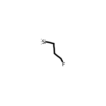 FCCC[Si]